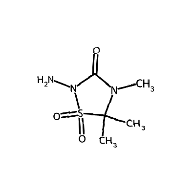 CN1C(=O)N(N)S(=O)(=O)C1(C)C